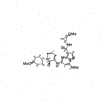 CNc1cc(Nc2cccn([C@H]3CC[C@H](OC)CC3)c2=O)nc2c(C(=O)N[C@@H]3C[C@H]3OC)cnn12